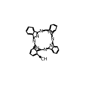 C#Cc1cccc2c3nc4nc(nc5[nH]c(nc6nc(nc([nH]3)c12)-c1ccccc1-6)c1ccccc51)-c1ccccc1-4